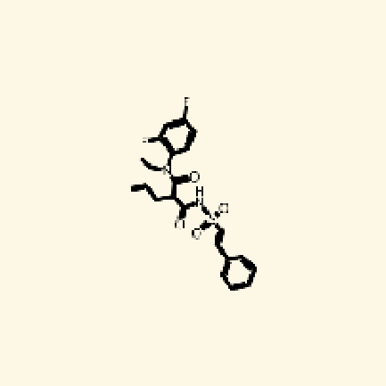 C=CCC(C(=O)NS(=O)(=O)/C=C/c1ccccc1)C(=O)N(CC)c1ccc(F)cc1F